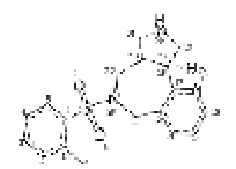 Cc1ccccc1S(=O)(=O)N1Cc2cccnc2[C@@H]2CNCC2C1